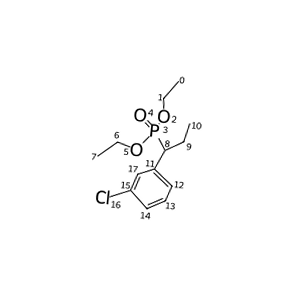 CCOP(=O)(OCC)C(CC)c1cccc(Cl)c1